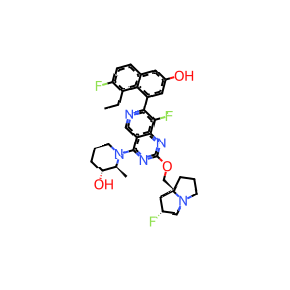 CCc1c(F)ccc2cc(O)cc(-c3ncc4c(N5CCC[C@@H](O)[C@@H]5C)nc(OC[C@@]56CCCN5C[C@H](F)C6)nc4c3F)c12